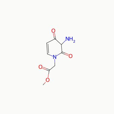 COC(=O)CN1C=CC(=O)C(N)C1=O